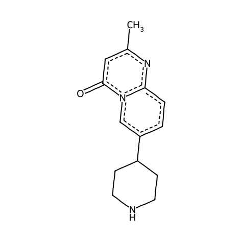 Cc1cc(=O)n2cc(C3CCNCC3)ccc2n1